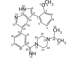 COc1ccccc1-c1c[nH]c2ncc(-c3cccc(C(=N)N4CCN(C(C)C)CC4)c3)cc12